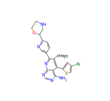 CCCCCCCc1c(-c2ccc(C3CNCCO3)nc2)nc2ncnc(N)c2c1-c1cc(Br)cs1